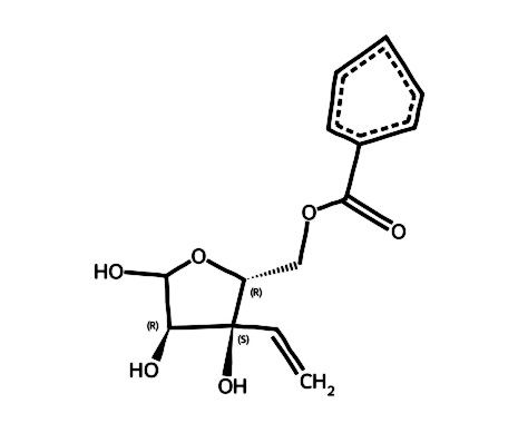 C=C[C@@]1(O)[C@@H](COC(=O)c2ccccc2)OC(O)[C@@H]1O